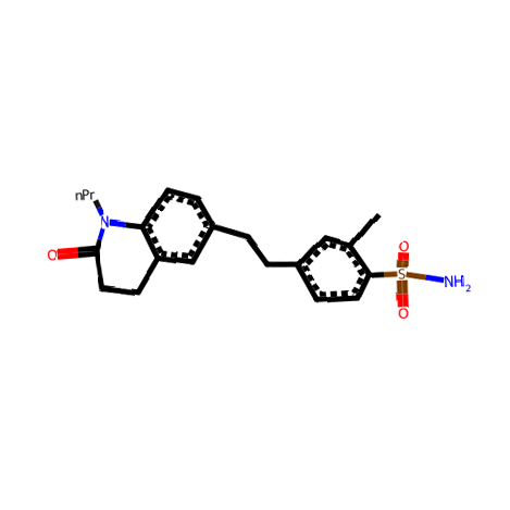 CCCN1C(=O)CCc2cc(CCc3ccc(S(N)(=O)=O)c(C)c3)ccc21